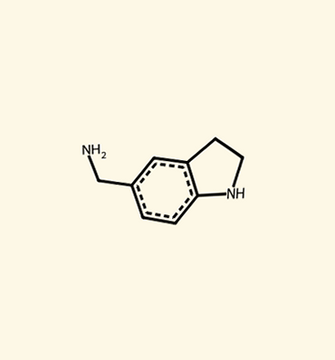 NCc1ccc2c(c1)CCN2